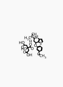 COc1cccc(OC(CCN(C)C)c2sccc2Br)c1.O=C(O)CC(O)(CC(=O)O)C(=O)O